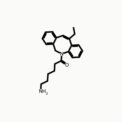 CC/C1=C/c2ccccc2CN(C(=O)CCCCCN)c2ccccc21